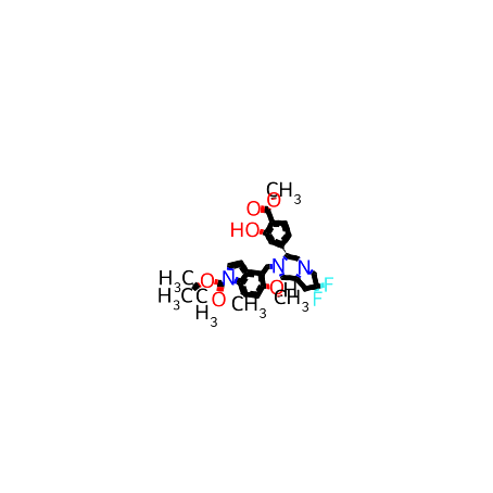 COC(=O)c1ccc([C@@H]2CN3CC(F)(F)C[C@H]3CN2Cc2c(OC)cc(C)c3c2ccn3C(=O)OC(C)(C)C)cc1O